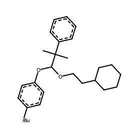 CCC(C)c1ccc(OC(OCCC2CCCCC2)C(C)(C)c2ccccc2)cc1